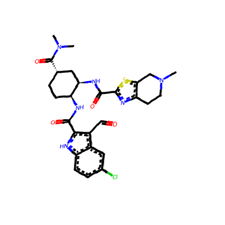 CN1CCc2nc(C(=O)N[C@@H]3C[C@@H](C(=O)N(C)C)CC[C@@H]3NC(=O)c3[nH]c4ccc(Cl)cc4c3C=O)sc2C1